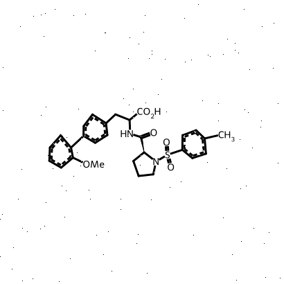 COc1ccccc1-c1ccc(CC(NC(=O)[C@@H]2CCCN2S(=O)(=O)c2ccc(C)cc2)C(=O)O)cc1